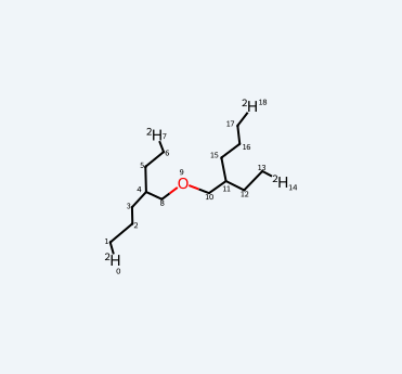 [2H]CCCC(CC[2H])COCC(CC[2H])CCC[2H]